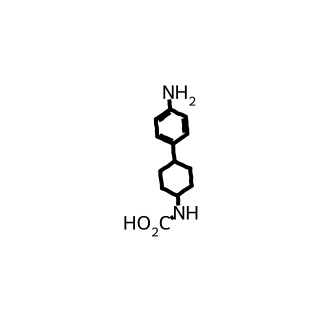 Nc1ccc(C2CCC(NC(=O)O)CC2)cc1